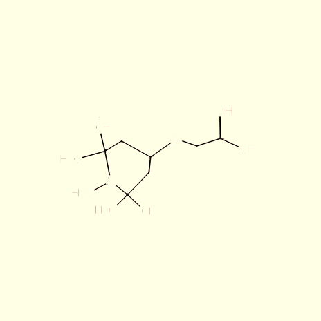 CC(O)COC1CC(C)(C)N(C)C(C)(C)C1